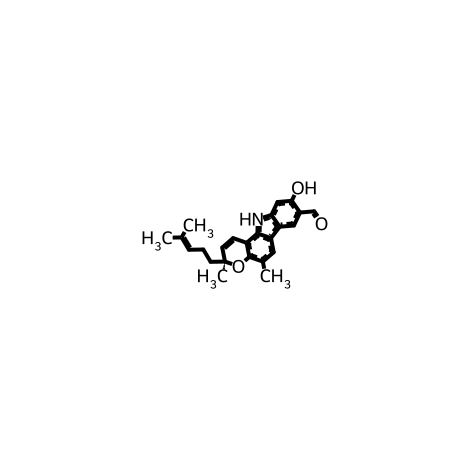 CC(C)=CCC[C@@]1(C)C=Cc2c(c(C)cc3c2[nH]c2cc(O)c(C=O)cc23)O1